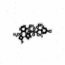 COc1ncnc(OC)c1-n1c(NS(=O)(=O)C(C)C(OC)c2ncc(Cl)cn2)nnc1[C@H]1CC[C@@H]1F